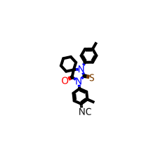 [C-]#[N+]c1ccc(N2C(=O)C3(CCCCC3)N(c3ccc(C)cc3)C2=S)cc1C